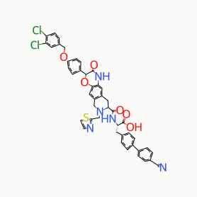 N#Cc1ccc(-c2ccc(C[C@H](NC(=O)C3Cc4cc5c(cc4CN3Cc3nccs3)OC(c3ccc(OCc4ccc(Cl)c(Cl)c4)cc3)C(=O)N5)C(=O)O)cc2)cc1